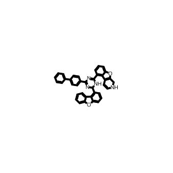 C1=Cc2c(oc3cccc(C4=NC(c5ccc(-c6ccccc6)cc5)=NC(c5cccc6oc7ccccc7c56)N4)c23)CN1